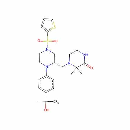 CC1(C)C(=O)NCCN1C[C@H]1CN(S(=O)(=O)c2cccs2)CCN1c1ccc([C@@](C)(O)C(F)(F)F)cc1